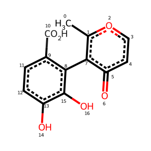 Cc1occc(=O)c1-c1c(C(=O)O)ccc(O)c1O